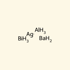 [Ag].[AlH3].[BaH2].[BiH3]